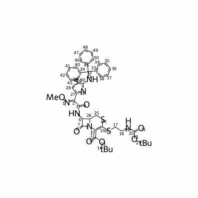 CON=C(C(=O)NC1C(=O)N2C(C(=O)OC(C)(C)C)=C(SCCNC(=O)OC(C)(C)C)SCC12)c1csc(NC(c2ccccc2)(c2ccccc2)c2ccccc2)n1